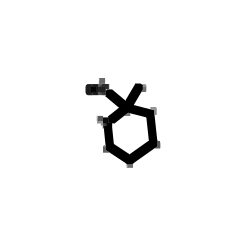 CC1(C=O)CCCC[N]1